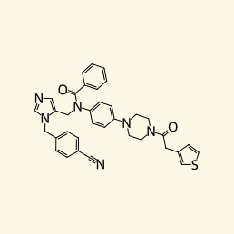 N#Cc1ccc(Cn2cncc2CN(C(=O)c2ccccc2)c2ccc(N3CCN(C(=O)Cc4ccsc4)CC3)cc2)cc1